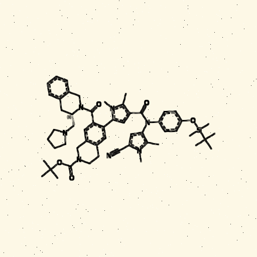 Cc1c(N(C(=O)c2cc(-c3cc4c(cc3C(=O)N3Cc5ccccc5C[C@H]3CN3CCCC3)CN(C(=O)OC(C)(C)C)CC4)n(C)c2C)c2ccc(O[Si](C)(C)C(C)(C)C)cc2)cc(C#N)n1C